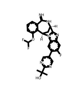 CC(C)(O)c1ncc(-c2cc3c(cc2F)nc2n3[C@@H]3C[C@H]2NC(=N)c2cccc(OC(F)F)c23)cn1